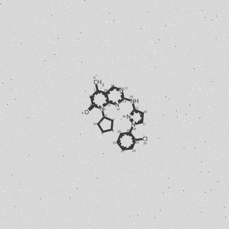 Cc1cc(=O)n(C2CCCC2)c2nc(Nc3ccn(-c4ccccc4Cl)n3)ncc12